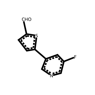 O=Cc1ccc(-c2cncc(F)c2)s1